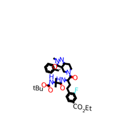 CCOC(=O)c1ccc(CCC(NC(=O)C(C)(C)NC(=O)OC(C)(C)C)C(=O)N2CCC3=NN(C)C(=O)[C@]3(Cc3ccccc3)C2)c(F)c1